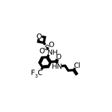 C=C(Cl)CCNC(=O)c1cc(C(F)(F)F)ccc1NS(=O)(=O)C1COC1